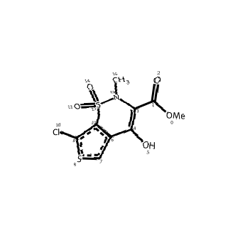 COC(=O)C1=C(O)c2csc(Cl)c2S(=O)(=O)N1C